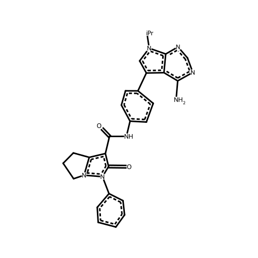 CC(C)n1cc(-c2ccc(NC(=O)c3c4n(n(-c5ccccc5)c3=O)CCC4)cc2)c2c(N)ncnc21